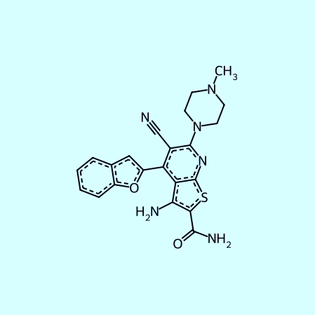 CN1CCN(c2nc3sc(C(N)=O)c(N)c3c(-c3cc4ccccc4o3)c2C#N)CC1